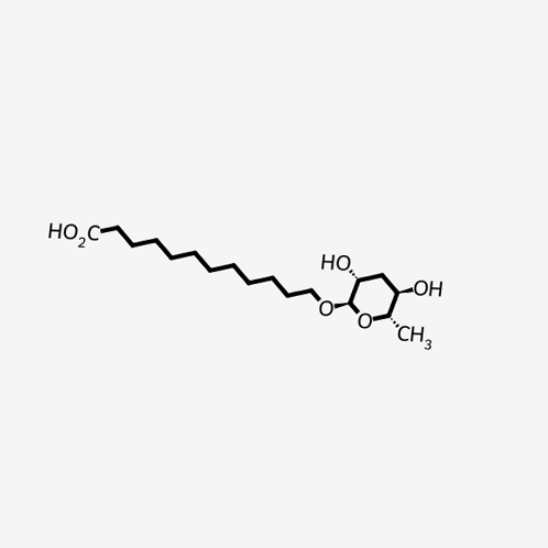 C[C@@H]1O[C@@H](OCCCCCCCCCCCC(=O)O)[C@H](O)C[C@H]1O